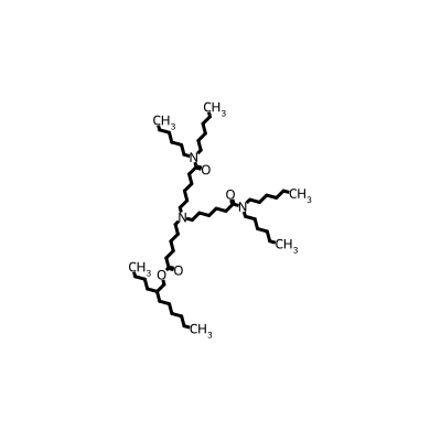 CCCCCCC(CCCC)COC(=O)CCCCCN(CCCCCC(=O)N(CCCCCC)CCCCCC)CCCCCC(=O)N(CCCCCC)CCCCCC